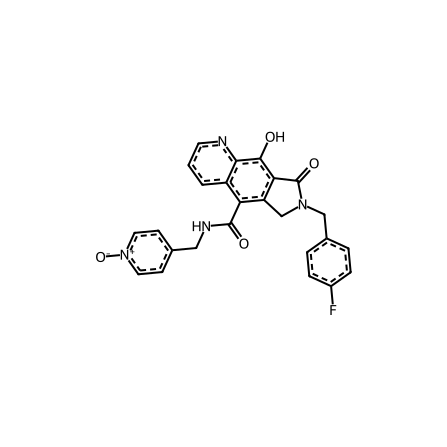 O=C(NCc1cc[n+]([O-])cc1)c1c2c(c(O)c3ncccc13)C(=O)N(Cc1ccc(F)cc1)C2